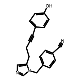 N#Cc1ccc(Cn2cncc2CCC#Cc2ccc(O)cc2)cc1